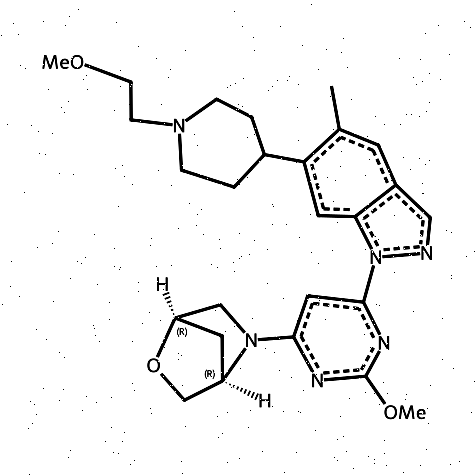 COCCN1CCC(c2cc3c(cnn3-c3cc(N4C[C@H]5C[C@@H]4CO5)nc(OC)n3)cc2C)CC1